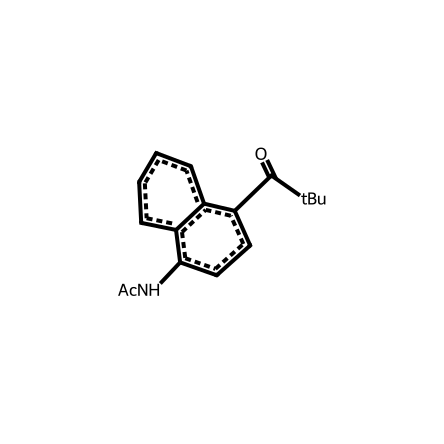 CC(=O)Nc1ccc(C(=O)C(C)(C)C)c2ccccc12